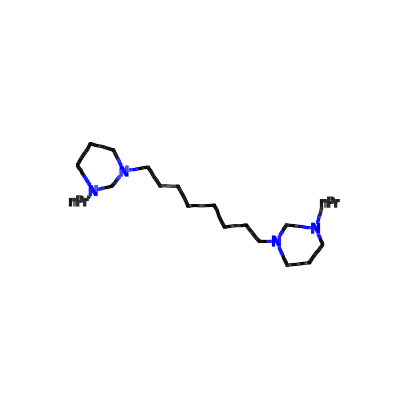 CCCN1CCCN(CCCCCCCCN2CCCN(CCC)C2)C1